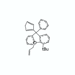 C=CCOc1c(C(C)(C)C)cccc1C(C1=CCC=C1)(c1ccccc1)c1ccccc1